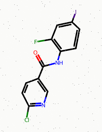 O=C(Nc1ccc(I)cc1F)c1ccc(Cl)nc1